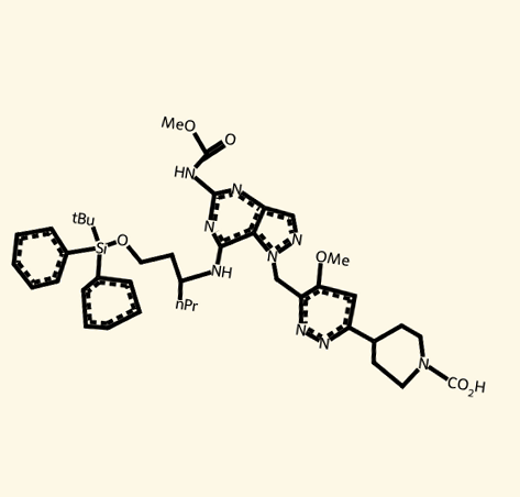 CCCC(CCO[Si](c1ccccc1)(c1ccccc1)C(C)(C)C)Nc1nc(NC(=O)OC)nc2cnn(Cc3nnc(C4CCN(C(=O)O)CC4)cc3OC)c12